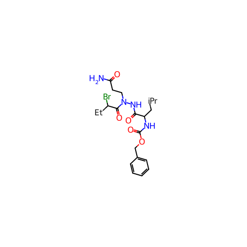 CCC(Br)C(=O)N(CCC(N)=O)NC(=O)C(CC(C)C)NC(=O)OCc1ccccc1